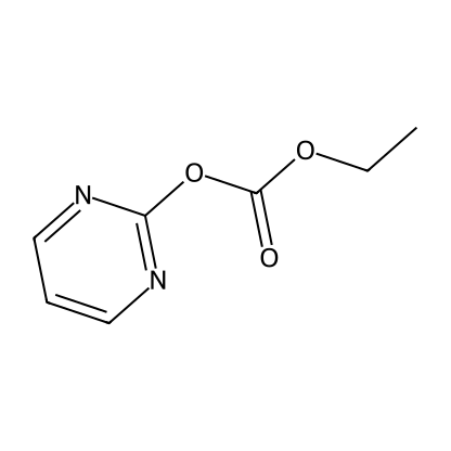 CCOC(=O)Oc1ncccn1